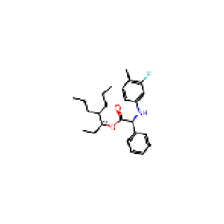 CCCC(CCC)[C@H](CC)OC(=O)C(Nc1ccc(C)c(F)c1)c1ccccc1